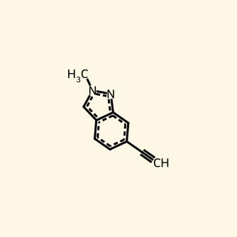 C#Cc1ccc2cn(C)nc2c1